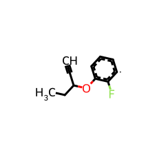 C#CC(CC)Oc1ccc[c]c1F